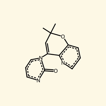 CC1(C)C=C(n2cccnc2=O)c2ncccc2O1